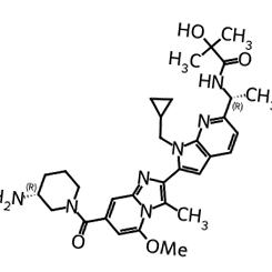 COc1cc(C(=O)N2CCC[C@@H](N)C2)cc2nc(-c3cc4ccc([C@@H](C)NC(=O)C(C)(C)O)nc4n3CC3CC3)c(C)n12